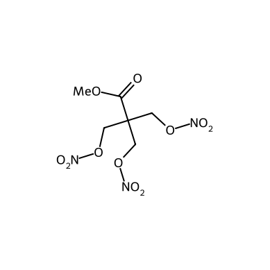 COC(=O)C(CO[N+](=O)[O-])(CO[N+](=O)[O-])CO[N+](=O)[O-]